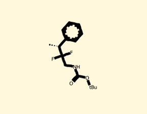 C[C@H](c1ccccc1)C(F)(F)CNC(=O)OC(C)(C)C